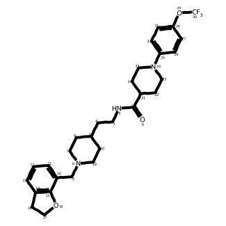 O=C(NCCC1CCN(Cc2cccc3c2OCC3)CC1)C1CCN(c2ccc(OC(F)(F)F)cc2)CC1